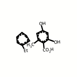 CCc1ccccc1.Cc1cc(O)cc(O)c1C(=O)O